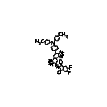 Cc1ccc(N(c2ccc(C)cc2)c2ccc(-c3cc4c(cc(N=c5c(=O)c6cc(F)c(F)cc6c5=O)c5nsnc54)c4nsnc34)cc2)cc1